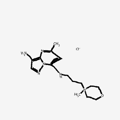 Cc1cc(NCCC[N+]2(C)CCOCC2)n2ncc(N)c2n1.[Cl-]